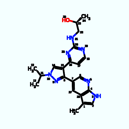 Cc1c[nH]c2ncc(-c3nn(C(C)C)cc3-c3ccnc(NC[C@H](C)O)n3)cc12